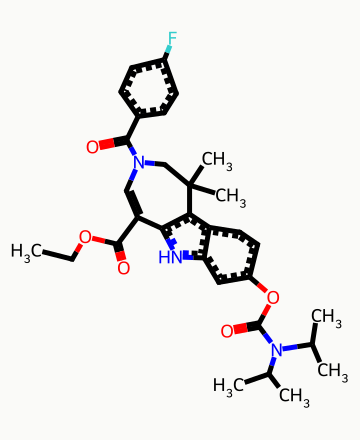 CCOC(=O)C1=CN(C(=O)c2ccc(F)cc2)CC(C)(C)c2c1[nH]c1cc(OC(=O)N(C(C)C)C(C)C)ccc21